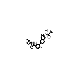 Cc1ccc(C(=O)N[C@@H]2CCOC2)cc1-c1ccc2cc(NC(=O)C3CC3)ncc2c1